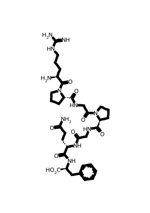 N=C(N)NCCC[C@H](N)C(=O)N1CCC[C@H]1C(=O)NCC(=O)N1CCC[C@H]1C(=O)NCC(=O)N[C@@H](CCC(N)=O)C(=O)N[C@@H](Cc1ccccc1)C(=O)O